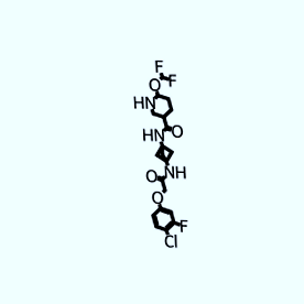 O=C(COc1ccc(Cl)c(F)c1)NC12CC(NC(=O)C3CCC(OC(F)F)NC3)(C1)C2